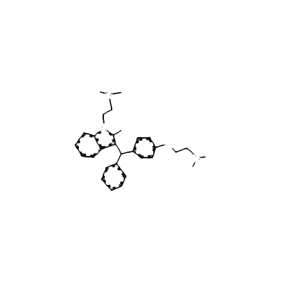 CN(C)CCOc1ccc(C(c2ccccc2)c2c(C(=O)O)n(CCN(C)C)c3ccccc23)cc1